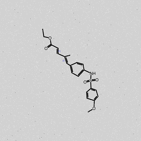 CCOC(=O)/C=C/C(C)=C/c1ccc(NS(=O)(=O)c2ccc(OC)cc2)cc1